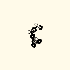 O=C(c1ccc(N(Cc2ccccc2)S(=O)(=O)c2ccccc2)cc1)N1CCC(C(=O)N2CCCC2)CC1